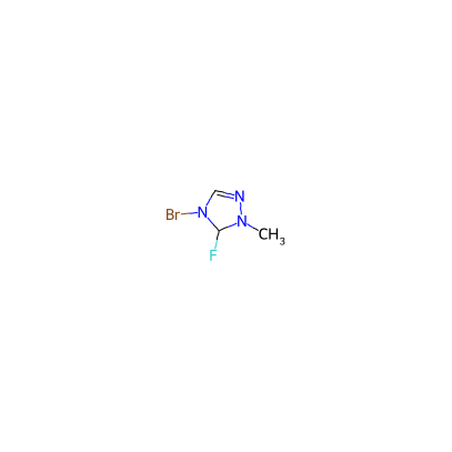 CN1N=CN(Br)C1F